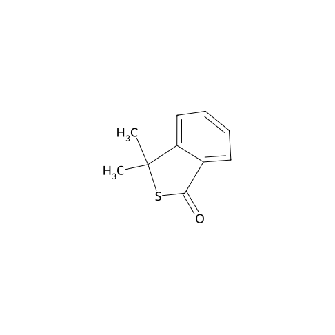 CC1(C)SC(=O)c2ccccc21